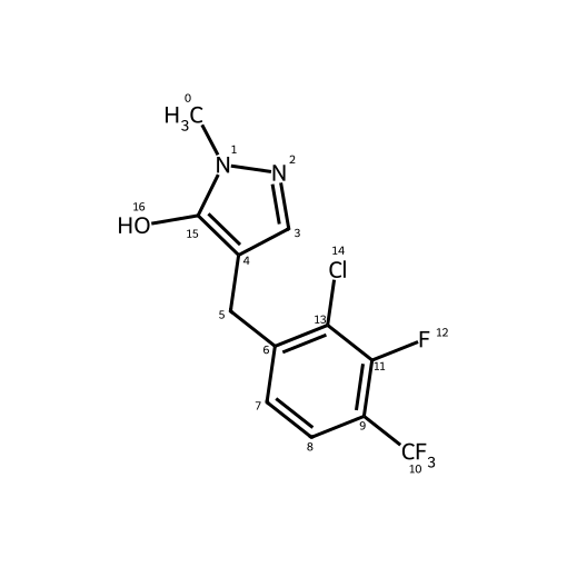 Cn1ncc(Cc2ccc(C(F)(F)F)c(F)c2Cl)c1O